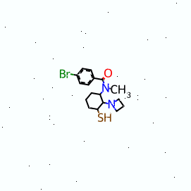 CN(C(=O)c1ccc(Br)cc1)C1CCCC(S)C1N1CCC1